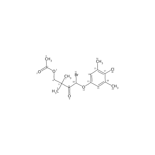 CC(=O)OCC(C)(C)C(=O)C(Br)Oc1cc(C)c(Cl)c(C)c1